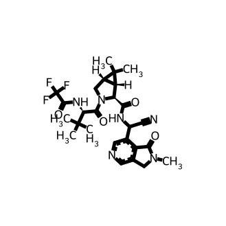 CN1Cc2cncc(C(C#N)NC(=O)[C@@H]3[C@@H]4[C@H](CN3C(=O)[C@@H](NC(=O)C(F)(F)F)C(C)(C)C)C4(C)C)c2C1=O